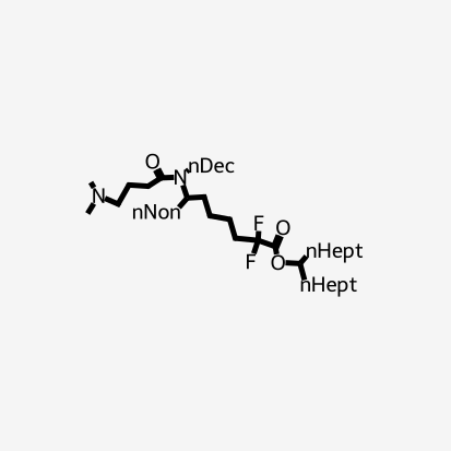 CCCCCCCCCCN(C(=O)CCCN(C)C)C(CCCCCCCCC)CCCCC(F)(F)C(=O)OC(CCCCCCC)CCCCCCC